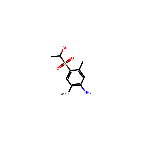 COc1cc(S(=O)(=O)C(C)O)c(C)cc1N